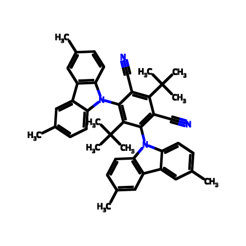 Cc1ccc2c(c1)c1cc(C)ccc1n2-c1c(C#N)c(C(C)(C)C)c(C#N)c(-n2c3ccc(C)cc3c3cc(C)ccc32)c1C(C)(C)C